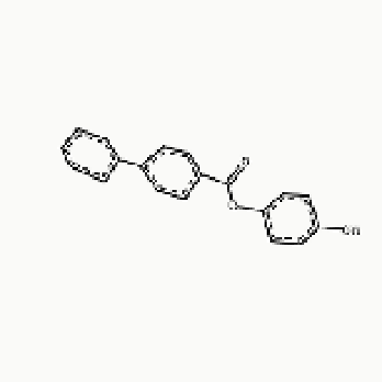 O=C(Oc1ccc(O)cc1)c1ccc(-c2ccccc2)cc1